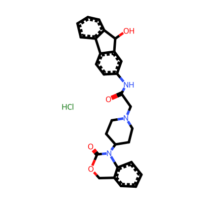 Cl.O=C(CN1CCC(N2C(=O)OCc3ccccc32)CC1)Nc1ccc2c(c1)C(O)c1ccccc1-2